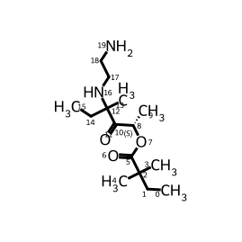 CCC(C)(C)C(=O)O[C@@H](C)C(=O)C(C)(CC)NCCN